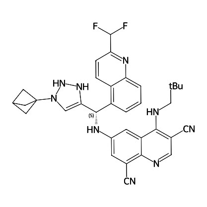 CC(C)(C)CNc1c(C#N)cnc2c(C#N)cc(N[C@H](C3=CN(C45CC(C4)C5)NN3)c3cccc4nc(C(F)F)ccc34)cc12